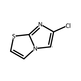 Clc1[c]n2ccsc2n1